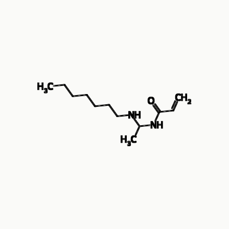 C=CC(=O)NC(C)NCCCCCCC